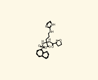 O=C(NC(CCCNc1ncc[nH]1)(NS(=O)(=O)c1cccc2ccccc12)C(=O)O)C1=NOCC1